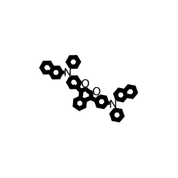 c1ccc(N(c2ccc3ccccc3c2)c2ccc3c(c2)oc2c4oc5cc(N(c6ccccc6)c6ccc7ccccc7c6)ccc5c4c4ccccc4c32)cc1